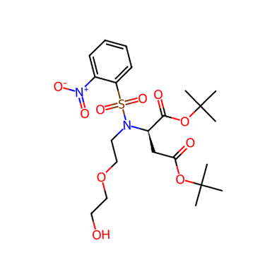 CC(C)(C)OC(=O)C[C@H](C(=O)OC(C)(C)C)N(CCOCCO)S(=O)(=O)c1ccccc1[N+](=O)[O-]